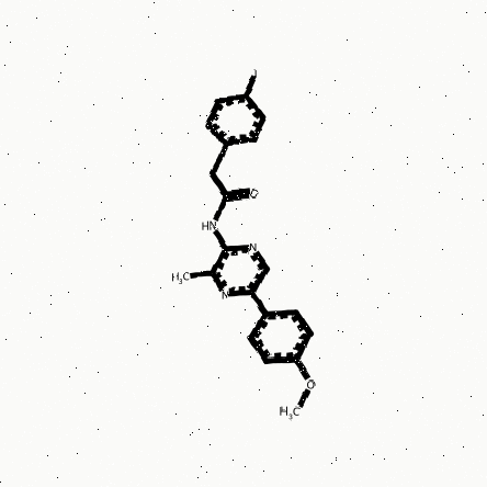 COc1ccc(-c2cnc(NC(=O)Cc3ccc(I)cc3)c(C)n2)cc1